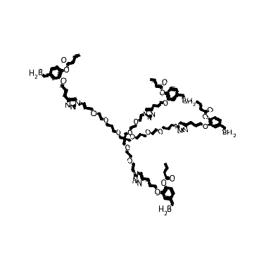 BCc1ccc(OC(=O)CCC)c(OCCCc2cn(CCCOCCOCCCOCC(COCCCOCCOCCCn3cc(CCCOc4cc(CB)ccc4OC(=O)CCC)nn3)(COCCOCCn3cc(CCCOc4cc(CB)ccc4OC(=O)CCC)nn3)COCCOCCn3cc(CCCOc4cc(CB)ccc4OC(=O)CCC)nn3)nn2)c1